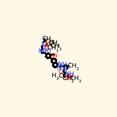 COC(=O)N[C@H](C(=O)N1C[C@@H](C)C[C@H]1c1nc2ccc3cc4c(cc3c2[nH]1)OCc1cc(-c2cnc(CN(CC(C)C)C(=O)OC(C)(C)C)[nH]2)ccc1-4)C(C)C